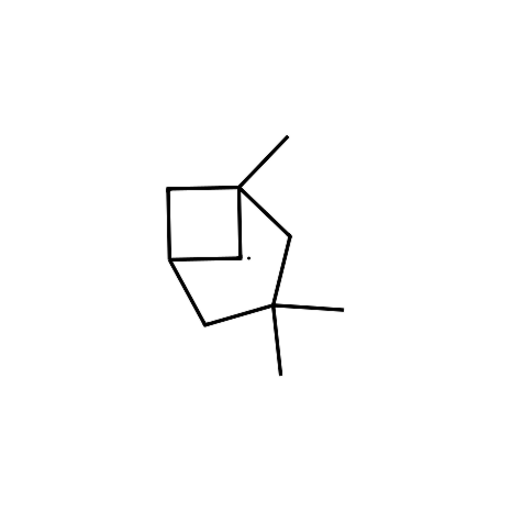 CC1(C)CC2[CH]C(C)(C2)C1